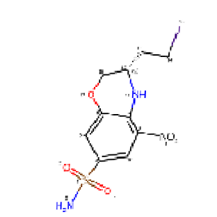 NS(=O)(=O)c1cc2c(c([N+](=O)[O-])c1)N[C@@H](CCI)CO2